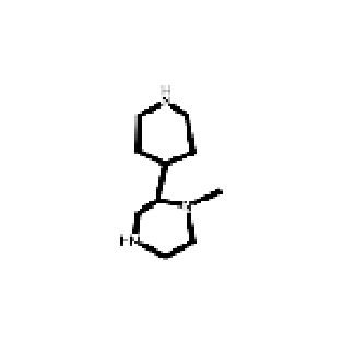 CN1CCNCC1C1CCNCC1